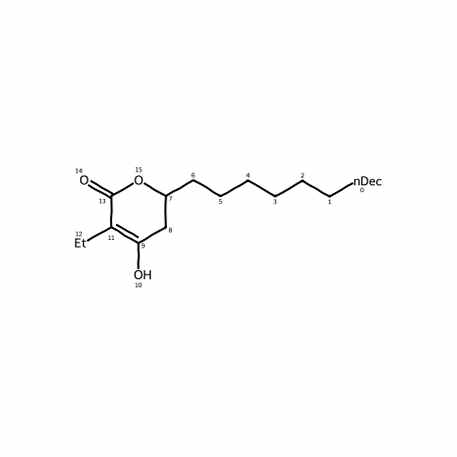 CCCCCCCCCCCCCCCCC1CC(O)=C(CC)C(=O)O1